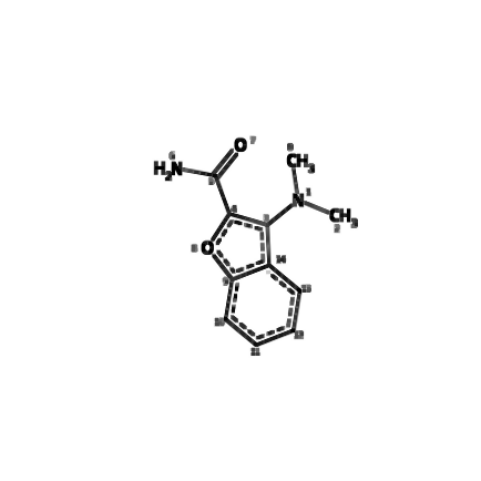 CN(C)c1c(C(N)=O)oc2ccccc12